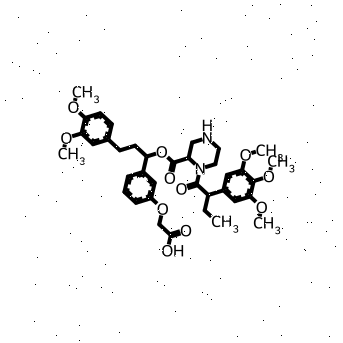 CCC(C(=O)N1CCNCC1C(=O)OC(CCc1ccc(OC)c(OC)c1)c1cccc(OCC(=O)O)c1)c1cc(OC)c(OC)c(OC)c1